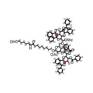 COC(OCC1OC(OCCCCCCCCC(=O)NCCCCCC=O)C(OC(C)=O)C(OC(OC)C(OC(=O)c2ccccc2)C(OC(=O)c2ccccc2)C(OC(=O)c2ccccc2)C(C)COC(=O)c2ccccc2)C1OC(C)=O)C(OC(=O)c1ccccc1)C(OC(=O)c1ccccc1)C(OC(=O)c1ccccc1)C(C)COC(=O)c1ccccc1